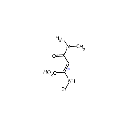 CCN/C(=C/C(=O)N(C)C)C(=O)O